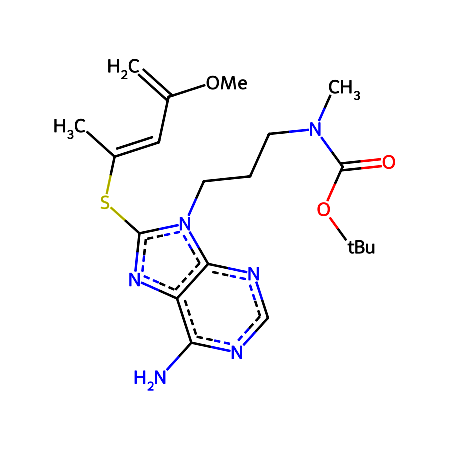 C=C(C=C(C)Sc1nc2c(N)ncnc2n1CCCN(C)C(=O)OC(C)(C)C)OC